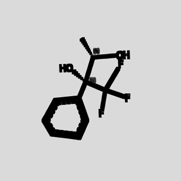 C[C@H](O)[C@](O)(c1ccccc1)C(F)(F)F